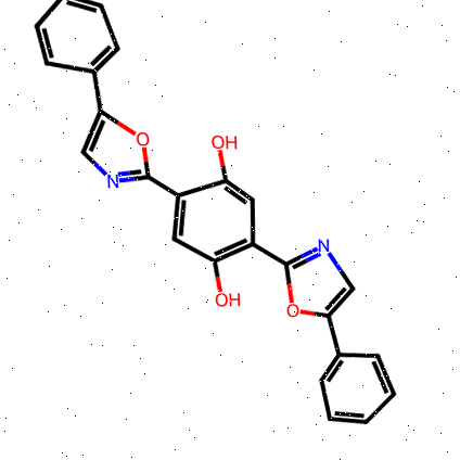 Oc1cc(-c2ncc(-c3ccccc3)o2)c(O)cc1-c1ncc(-c2ccccc2)o1